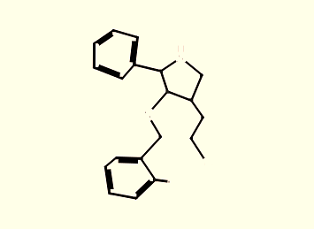 OCCC1CNC(c2ccccc2)C1NCc1ccccc1C(F)(F)F